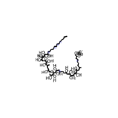 C=CCC/C=C/C=C/C=C/CC/C=C/[C@@H](O)[C@H](O)[C@@H]1O[C@@H]([C@H](O)[C@H](O)C(=C)CC[C@@H](O)[C@H]2C[C@@H](O)[C@@H](O)[C@H]([C@@H](O)[C@H](O)/C=C(\C)CC[C@H](O)C[C@H](O)[C@H](O)[C@@H](C)C[C@H](O)C(O)CC(C)CC/C=C/CC(CO)OS(=O)(=O)[O-])O2)C[C@@H](O)[C@H]1O.[Na+]